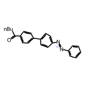 CCCCC(=O)c1ccc(-c2ccc(/N=N/c3ccccc3)cc2)cc1